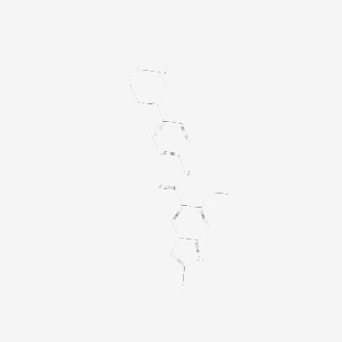 COc1cc2nc(C)cn2cc1C(=O)Nc1ccc(N2C[C@@H](C)N[C@@H](C)C2)cn1